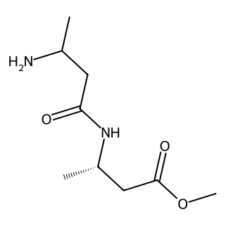 COC(=O)C[C@H](C)NC(=O)CC(C)N